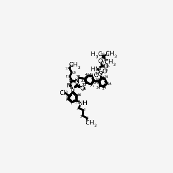 CCCCCNc1ccc(Cl)c(-n2nc(CCCC)n(Cc3ccc(-c4ccccc4S(=O)(=O)NC(=O)OC(C)(C)C)cc3)c2=O)c1